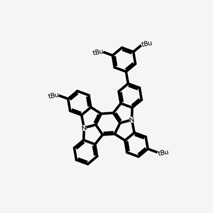 CC(C)(C)c1cc(-c2ccc3c(c2)c2c4c5ccc(C(C)(C)C)cc5n5c6ccccc6c(c6c7ccc(C(C)(C)C)cc7n3c26)c45)cc(C(C)(C)C)c1